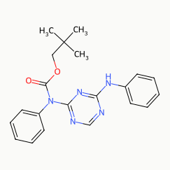 CC(C)(C)COC(=O)N(c1ccccc1)c1ncnc(Nc2ccccc2)n1